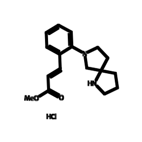 COC(=O)C=Cc1ccccc1N1CCC2(CCCN2)C1.Cl